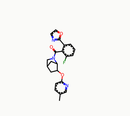 Cc1ccc(OC2CC3CC2N(C(=O)c2c(F)cccc2-c2ncco2)C3)nc1